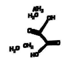 O.O.O.O=C(O)C(=O)O.[AlH3]